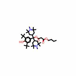 CCCCOC(=O)CC(=O)OC(c1cc(C(C)(C)C)c(O)c(C(C)(C)C)c1)(C1CC(C)(C)N(C)C(C)(C)C1)C1CC(C)(C)N(C)C(C)(C)C1